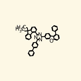 CCC1(CC)c2ccccc2-c2c(-c3nc(-c4ccc(-c5ccccc5)cc4)nc(-c4ccc5c(c4)oc4cccc(-c6ccccc6)c45)n3)cccc21